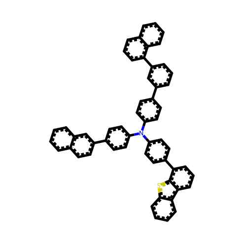 c1cc(-c2ccc(N(c3ccc(-c4ccc5ccccc5c4)cc3)c3ccc(-c4cccc5c4sc4ccccc45)cc3)cc2)cc(-c2cccc3ccccc23)c1